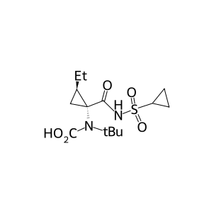 CC[C@@H]1C[C@@]1(C(=O)NS(=O)(=O)C1CC1)N(C(=O)O)C(C)(C)C